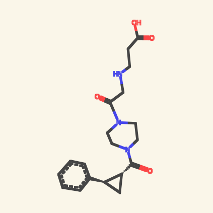 O=C(O)CCNCC(=O)N1CCN(C(=O)[C@@H]2C[C@H]2c2ccccc2)CC1